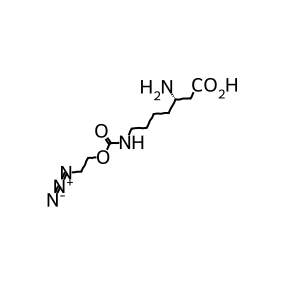 [N-]=[N+]=NCCOC(=O)NCCCC[C@H](N)CC(=O)O